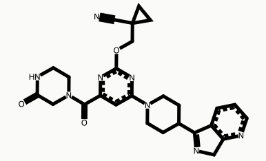 N#CC1(COc2nc(C(=O)N3CCNC(=O)C3)cc(N3CCC(C4=NCc5ncccc54)CC3)n2)CC1